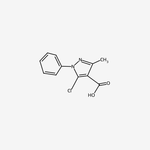 Cc1nn(-c2ccccc2)c(Cl)c1C(=O)O